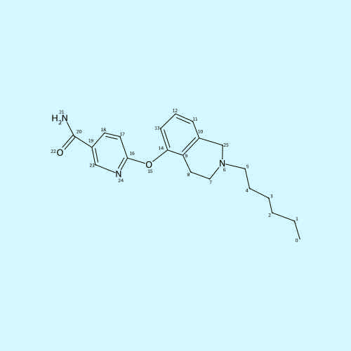 CCCCCCN1CCc2c(cccc2Oc2ccc(C(N)=O)cn2)C1